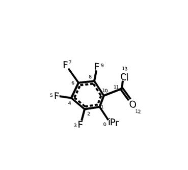 CC(C)c1c(F)c(F)c(F)c(F)c1C(=O)Cl